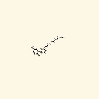 COCCOCCOCCOc1cccc(-n2cc(C(C)=O)ccc2=O)c1